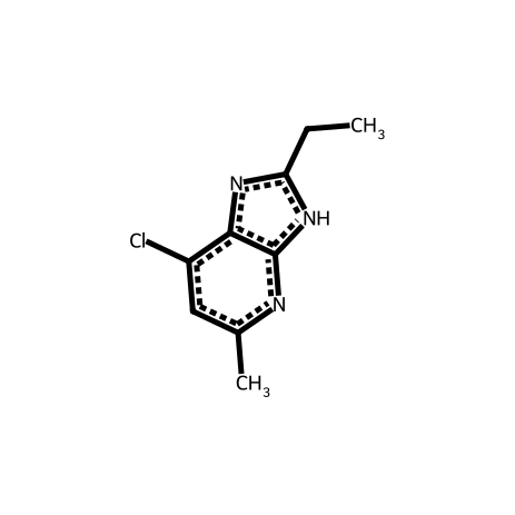 CCc1nc2c(Cl)cc(C)nc2[nH]1